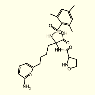 Cc1cc(C)c(S(=O)(=O)NC(CCCCc2cccc(N)n2)(NC(=O)C2CCON2)C(=O)O)c(C)c1